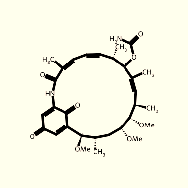 CO[C@H]1[C@H](C)C=C(C)C(OC(N)=O)[C@@H](C)C=CC=C(C)C(=O)NC2=CC(=O)C=C(C2=O)[C@H](OC)[C@@H](C)C[C@H]1OC